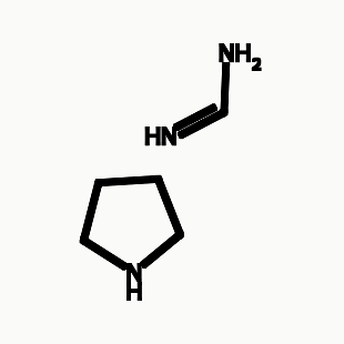 C1CCNC1.N=CN